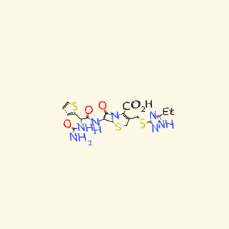 CCc1nc(SCC2=C(C(=O)O)N3C(=O)[C@H](NC(=O)C(NC(N)=O)c4cccs4)C3SC2)n[nH]1